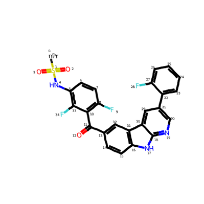 CCCS(=O)(=O)Nc1ccc(F)c(C(=O)c2ccc3[nH]c4ncc(-c5ccccc5F)cc4c3c2)c1F